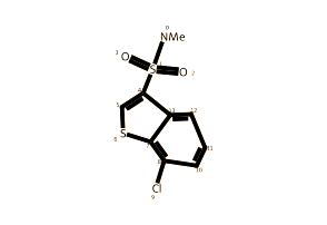 CNS(=O)(=O)c1csc2c(Cl)cccc12